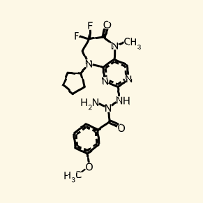 COc1cccc(C(=O)N(N)Nc2ncc3c(n2)N(C2CCCC2)CC(F)(F)C(=O)N3C)c1